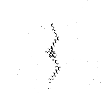 CCCCCCCC/C=C\CCCCCCCC(CC)C(CO)(NC)C(CC)CCCCCCC/C=C\CCCCCCCC